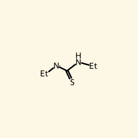 CC[N]C(=S)NCC